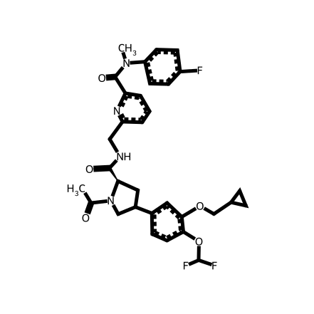 CC(=O)N1CC(c2ccc(OC(F)F)c(OCC3CC3)c2)C[C@@H]1C(=O)NCc1cccc(C(=O)N(C)c2ccc(F)cc2)n1